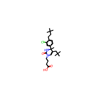 CC(C)(C)CCc1ccc(C2(C)NC(=O)N(CCCC(=O)O)C=C2CC(C)(C)C)cc1Cl